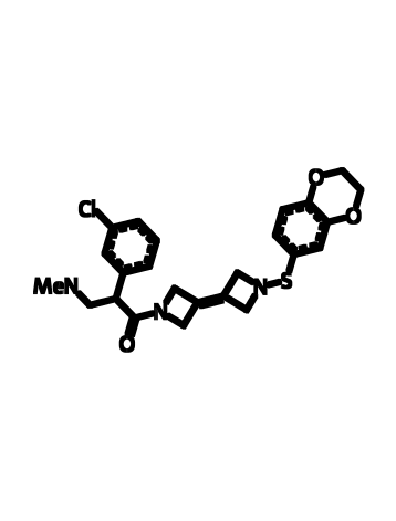 CNCC(C(=O)N1CC(=C2CN(Sc3ccc4c(c3)OCCO4)C2)C1)c1cccc(Cl)c1